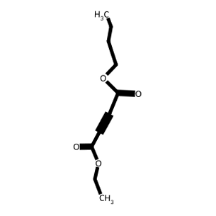 CCCCOC(=O)C#CC(=O)OCC